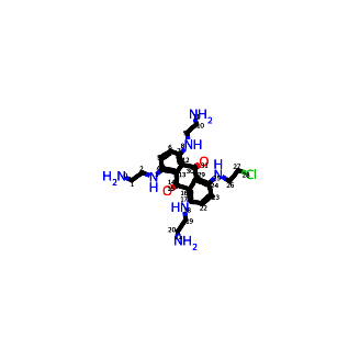 NCCNc1ccc(NCCN)c2c1C(=O)c1c(NCCN)ccc(NCCCl)c1C2=O